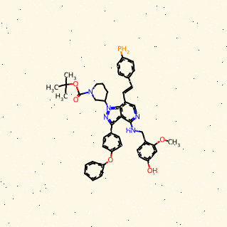 COc1cc(O)ccc1CNc1ncc(/C=C/c2ccc(P)cc2)c2c1c(-c1ccc(Oc3ccccc3)cc1)nn2C1CCCN(C(=O)OC(C)(C)C)C1